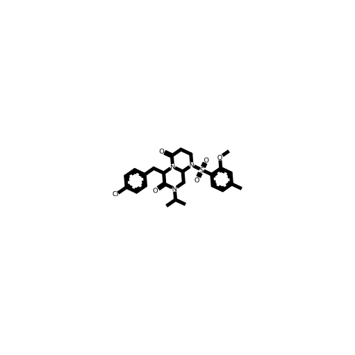 COc1cc(C)ccc1S(=O)(=O)N1CCC(=O)N2C(Cc3ccc(Cl)cc3)C(=O)N(C(C)C)CC21